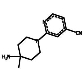 CC1(N)CCN(c2cc(C#N)ccn2)CC1